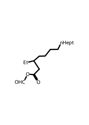 CCCCCCCCCCCC(CC)CC(=O)OC=O